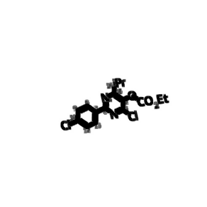 CCOC(=O)Oc1c(Cl)nc(-c2ccc(Cl)cc2)nc1C(C)C